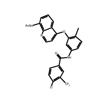 CC(=O)Nc1cccc2c(Oc3cc(NC(=O)c4ccc(Cl)c(C(F)(F)F)c4)ccc3C)ccnc12